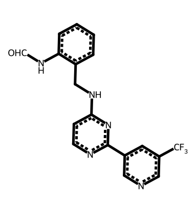 O=CNc1ccccc1CNc1ccnc(-c2cncc(C(F)(F)F)c2)n1